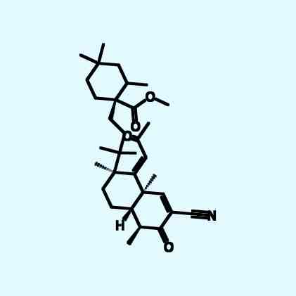 COC(=O)[C@]1(CCC(C)(C)[C@]2(C)CC[C@H]3[C@H](C)C(=O)C(C#N)=C[C@]3(C)/C2=C/C(C)=O)CCC(C)(C)CC1C